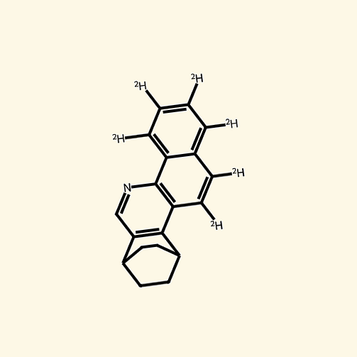 [2H]c1c([2H])c([2H])c2c(c1[2H])c([2H])c([2H])c1c3c(cnc12)C1CCC3CC1